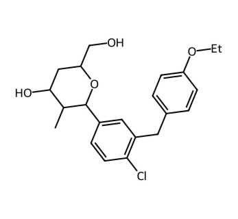 CCOc1ccc(Cc2cc(C3OC(CO)CC(O)C3C)ccc2Cl)cc1